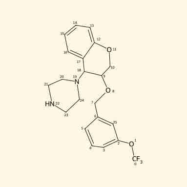 FC(F)(F)Oc1cccc(COC2COc3ccccc3C2N2CCNCC2)c1